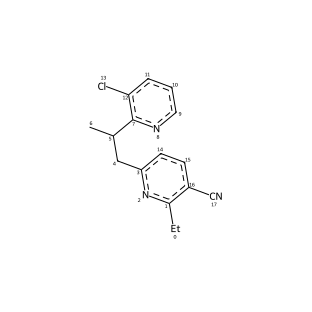 CCc1nc(CC(C)c2ncccc2Cl)ccc1C#N